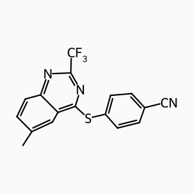 Cc1ccc2nc(C(F)(F)F)nc(Sc3ccc(C#N)cc3)c2c1